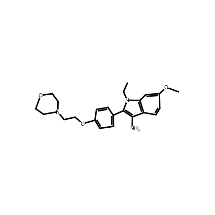 CCn1c(-c2ccc(OCCN3CCOCC3)cc2)c(N)c2ccc(OC)cc21